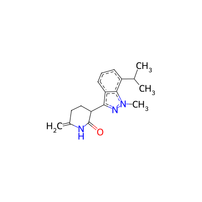 C=C1CCC(c2nn(C)c3c(C(C)C)cccc23)C(=O)N1